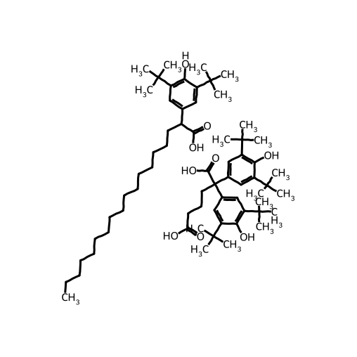 CC(C)(C)c1cc(C(CCCC(=O)O)(C(=O)O)c2cc(C(C)(C)C)c(O)c(C(C)(C)C)c2)cc(C(C)(C)C)c1O.CCCCCCCCCCCCCCCCC(C(=O)O)c1cc(C(C)(C)C)c(O)c(C(C)(C)C)c1